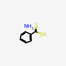 N.S=C(S)c1ccccc1